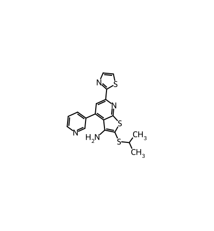 CC(C)Sc1sc2nc(-c3nccs3)cc(-c3cccnc3)c2c1N